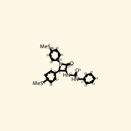 CSc1ccc(C2C(NC(=O)Nc3ccccc3)C(=O)N2c2ccc(SC)cc2)cc1